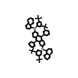 CC(C)(C)c1cc(N(c2ccc3c(-c4ccccc4)c4cc(N(c5cc(C(C)(C)C)cc(C(C)(C)C)c5)c5cccc6ccccc56)ccc4c(-c4ccccc4)c3c2)c2cccc3ccccc23)cc(C(C)(C)C)c1